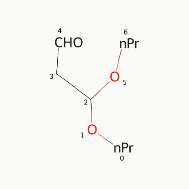 CCCOC(CC=O)OCCC